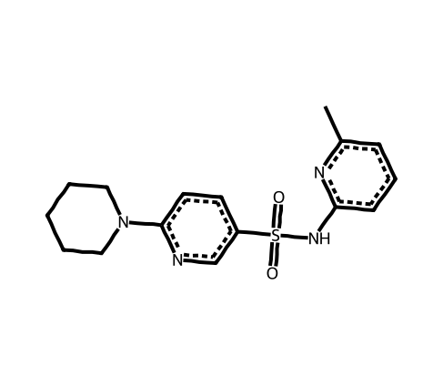 Cc1cccc(NS(=O)(=O)c2ccc(N3CCCCC3)nc2)n1